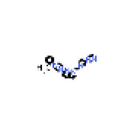 Cc1ccccc1N1CCN(c2ccc3ccn(CCN4CCC(n5ccnc5)C4)c3n2)CC1